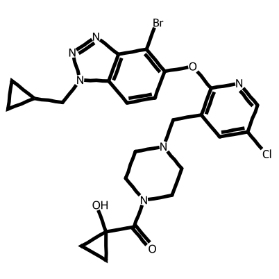 O=C(N1CCN(Cc2cc(Cl)cnc2Oc2ccc3c(nnn3CC3CC3)c2Br)CC1)C1(O)CC1